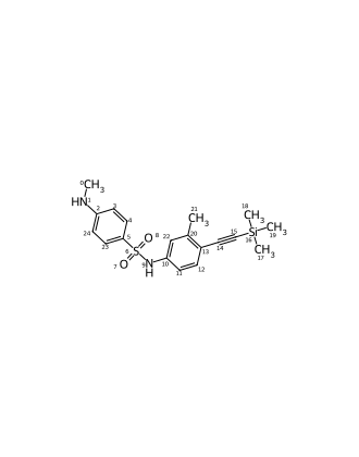 CNc1ccc(S(=O)(=O)Nc2ccc(C#C[Si](C)(C)C)c(C)c2)cc1